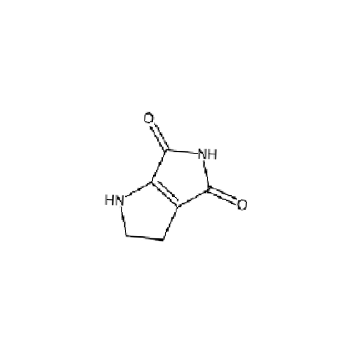 O=C1NC(=O)C2=C1CCN2